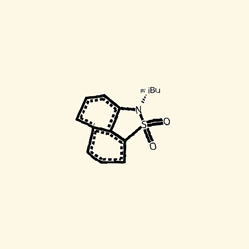 CC[C@@H](C)N1c2cccc3cccc(c23)S1(=O)=O